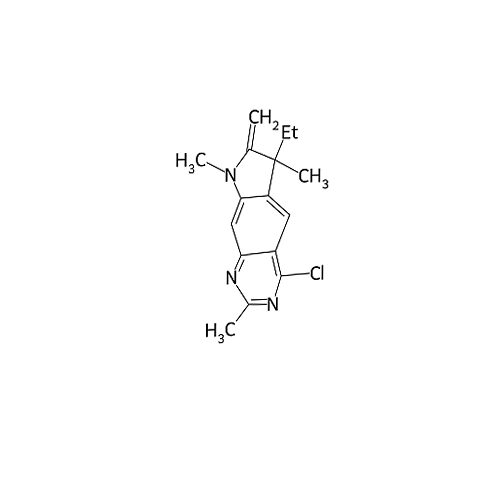 C=C1N(C)c2cc3nc(C)nc(Cl)c3cc2C1(C)CC